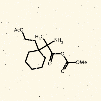 COC(=O)OC(=O)C(C)(N)C1(CCOC(C)=O)CCCCC1